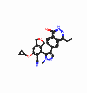 CCc1n[nH]c(=O)c2ccc(-c3cnn(C)c3-c3c(C#N)c(OC4CC4)cc4c3COC4)cc12